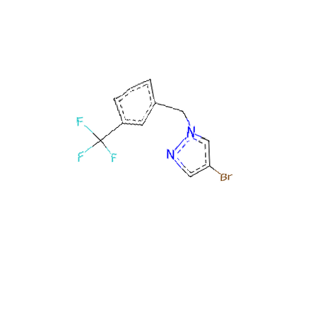 FC(F)(F)c1cccc(Cn2cc(Br)cn2)c1